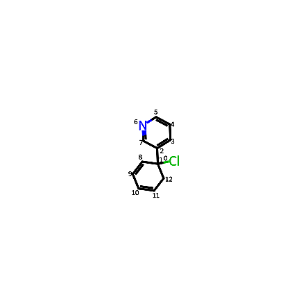 ClC1(c2cccnc2)C=CC=CC1